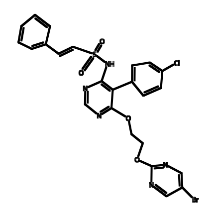 O=S(=O)(C=Cc1ccccc1)Nc1ncnc(OCCOc2ncc(Br)cn2)c1-c1ccc(Cl)cc1